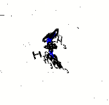 CC1C=Cc2c(n(-c3ccc([Si](c4ccccc4)(c4ccccc4)c4ccc(-n5c6c(c7c5C(C)CCC7)C=CCC6)cc4)cc3)c3ccc4c(c23)C(C)(C)c2ccccc2-4)C1